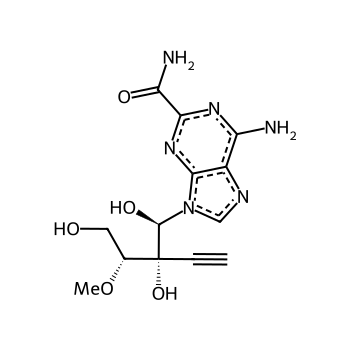 C#C[C@@](O)([C@@H](CO)OC)[C@@H](O)n1cnc2c(N)nc(C(N)=O)nc21